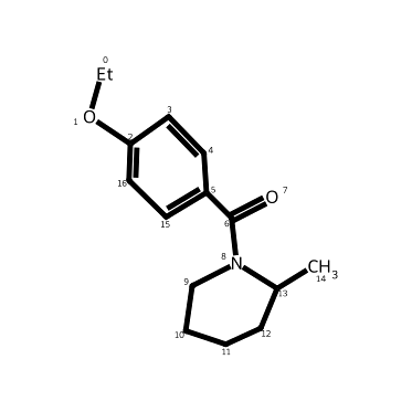 CCOc1ccc(C(=O)N2CCCCC2C)cc1